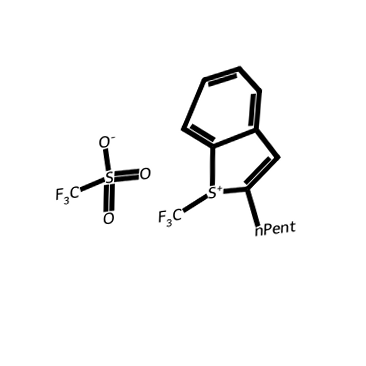 CCCCCc1cc2ccccc2[s+]1C(F)(F)F.O=S(=O)([O-])C(F)(F)F